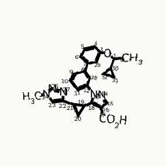 CC(Oc1cccc(-c2cccc(-n3ncc(C(=O)O)c3C3CC3c3cn(C)nn3)c2)c1)C1CC1